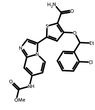 CCC(Oc1cc(-c2cnc3cc(NC(=O)OC)ccn23)sc1C(N)=O)c1ccccc1Cl